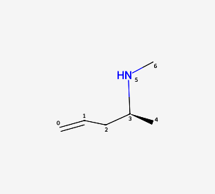 C=CC[C@H](C)NC